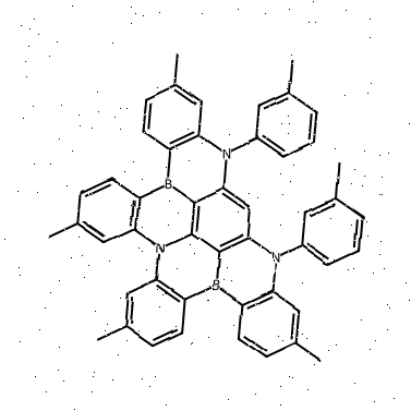 Cc1cccc(N2c3cc(C)ccc3B3c4ccc(C)cc4N4c5cc(C)ccc5B5c6ccc(C)cc6N(c6cccc(C)c6)c6cc2c3c4c65)c1